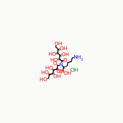 Cl.NCCCC[C@@H](C(=O)O)N(C(=O)[C@H](O)[C@@H](O)[C@H](O)[C@H](O)CO)C(=O)[C@H](O)[C@@H](O)[C@H](O)[C@H](O)CO